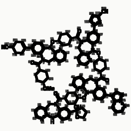 CO[C@H]1CC[C@@H](C(=O)N2Cc3cccnc3N(O[C@H]3CC[C@H](C(=O)N4Cc5cccnc5N(O[C@H]5CC[C@H](C(=O)N6Cc7cccnc7N(O[C@H]7CC[C@H](C(=O)N8Cc9cccnc9Nc9ccc(C%10(O)CCCO%10)cc98)CC7)c7ccc(-c8cnn9ncccc89)cc76)CC5)c5ccc(-c6ccc(C#N)s6)cc54)CC3)c3ccc(C4=CCC(C#N)CC4)cc32)CC1